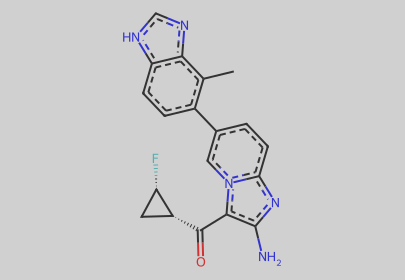 Cc1c(-c2ccc3nc(N)c(C(=O)[C@@H]4C[C@@H]4F)n3c2)ccc2[nH]cnc12